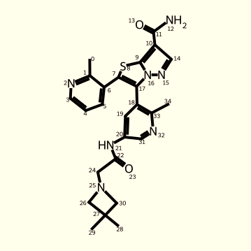 Cc1ncccc1-c1sc2c(C(N)=O)cnn2c1-c1cc(NC(=O)CN2CC(C)(C)C2)cnc1C